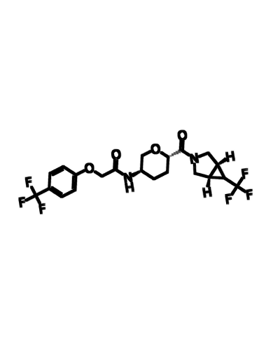 O=C(COc1ccc(C(F)(F)F)cc1)N[C@@H]1CC[C@@H](C(=O)N2C[C@@H]3C(C(F)(F)F)[C@@H]3C2)OC1